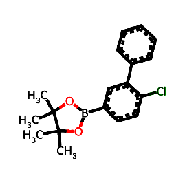 CC1(C)OB(c2ccc(Cl)c(-c3ccccc3)c2)OC1(C)C